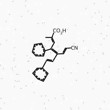 CC(=CC(=C(C=CC#N)C=Cc1ccccc1)c1ccccc1)C(=O)O